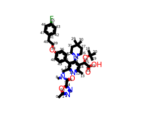 Cc1nnc(C(=O)N(C)Cc2nc(C)c(C(OC(C)(C)C)C(=O)O)c(N3CCC(C)(C)CC3)c2-c2ccc(OCCc3ccc(F)cc3)cc2)o1